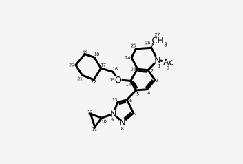 CC(=O)N1c2ccc(-c3cnn(C4CC4)c3)c(OCC3CCCCC3)c2CC[C@@H]1C